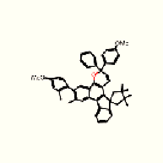 COc1ccc(C2(c3ccccc3)C=Cc3c4c(c5cc(C)c(-c6ccc(OC)cc6C)cc5c3O2)-c2ccccc2C42CC(C)(C)C(C)(C)C2)cc1